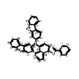 c1ccc(-c2nc3cc(N(c4ccc5c(c4)oc4ccccc45)c4ccc5sc6ccccc6c5c4)c4ccccc4c3o2)cc1